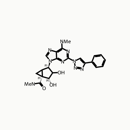 CNC(=O)[C@]12CC1[C@@H](n1cnc3c(NC)nc(-n4cc(-c5ccccc5)nn4)nc31)C(O)[C@@H]2O